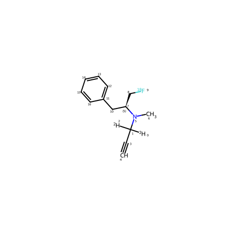 [2H]C([2H])(C#C)N(C)[C@H](C[18F])Cc1ccccc1